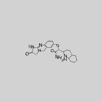 NC(=O)C(Oc1ccc2c(c1)CN1CC(=O)NC1=N2)C1CCC2CCCCC2N1